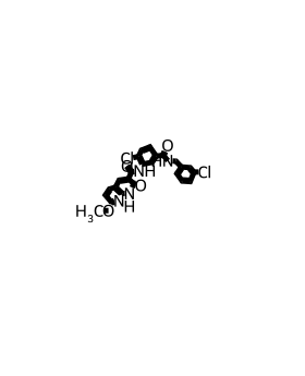 COc1ccc2cc(C(=O)Nc3cc(C(=O)NCc4cccc(Cl)c4)ccc3Cl)c(=O)[nH]c2n1